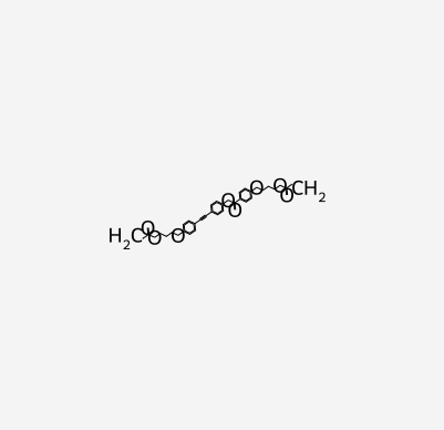 C=CC(=O)OCCCOc1ccc(C#Cc2ccc(OC(=O)c3ccc(OCCCOC(=O)C=C)cc3)cc2)cc1